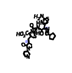 Nc1nc(/C(=N/OC2CCCC2)C(=O)N[C@@H]2C(=O)N3C(C(=O)O)=C(/C=C4\CCN(c5cccnc5)C4=O)CS[C@H]23)cs1